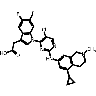 CN1CCc2c(cc(Nc3ncc(Cl)c(-n4cc(CC(=O)O)c5cc(F)c(F)cc54)n3)cc2C2CC2)C1